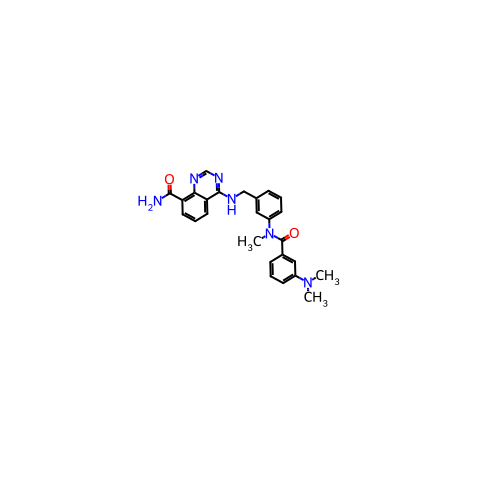 CN(C)c1cccc(C(=O)N(C)c2cccc(CNc3ncnc4c(C(N)=O)cccc34)c2)c1